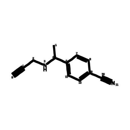 C#CCNC(C)c1ccc(C#N)cc1